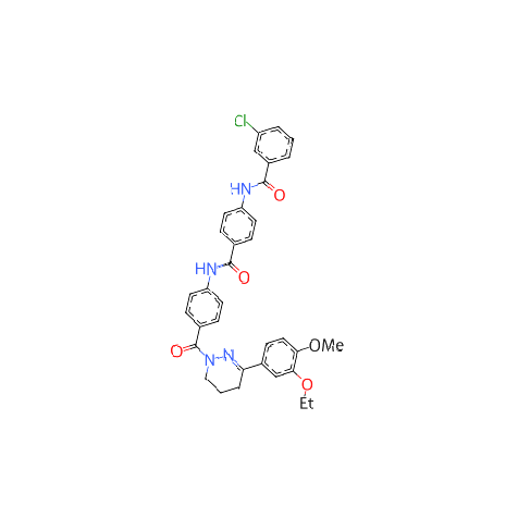 CCOc1cc(C2=NN(C(=O)c3ccc(NC(=O)c4ccc(NC(=O)c5cccc(Cl)c5)cc4)cc3)CCC2)ccc1OC